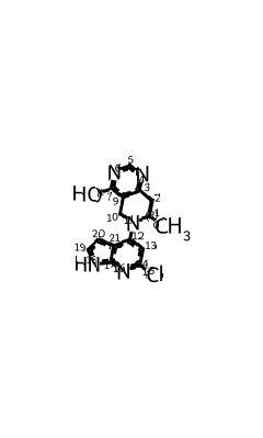 C[C@@H]1Cc2ncnc(O)c2CN1c1cc(Cl)nc2[nH]ccc12